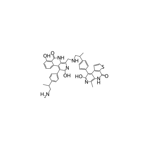 Cc1nc(O)c(-c2ccc(C(C)CNCc3nc(O)c(-c4ccc(C(C)CN)cc4)c4c3[nH]c(=O)c3c(O)cccc34)cc2)c2c1[nH]c(=O)c1sccc12